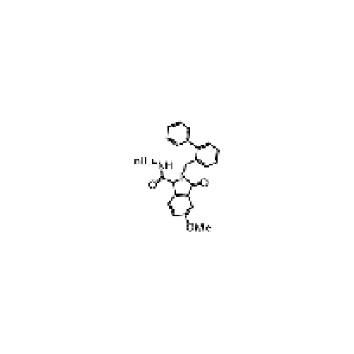 CCCCNC(=O)C1c2ccc(OC)cc2C(=O)N1Cc1ccccc1-c1ccccc1